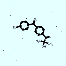 CCc1ccc(C(=O)c2ccc(C(=O)C(C)(C)O)cc2)cc1